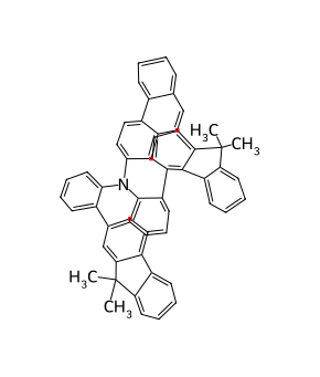 CC1(C)c2ccccc2-c2ccc(-c3ccccc3N(c3ccc4c(ccc5ccccc54)c3)c3ccccc3-c3cccc4c3-c3ccccc3C4(C)C)cc21